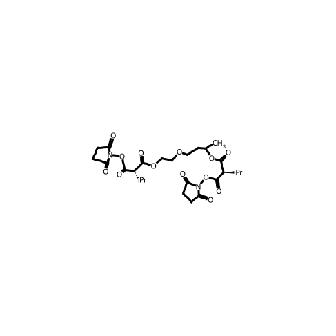 CC(CCOCCOC(=O)[C@@H](C(=O)ON1C(=O)CCC1=O)C(C)C)OC(=O)[C@H](C(=O)ON1C(=O)CCC1=O)C(C)C